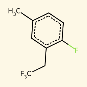 Cc1ccc(F)c(CC(F)(F)F)c1